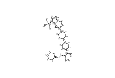 CN(CCN1CCOCC1)C(=O)c1ccc(C2CCN(c3ccc4nnc(C(F)(F)F)n4n3)CC2)cc1